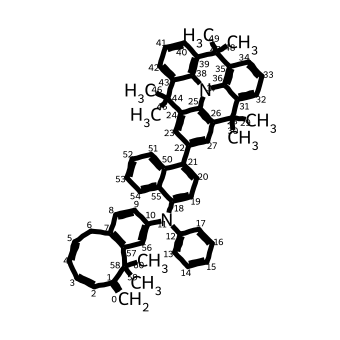 C=C1/C=C\C=C/Cc2ccc(N(c3ccccc3)c3ccc(-c4cc5c6c(c4)C(C)(C)c4cccc7c4N6c4c(cccc4C5(C)C)C7(C)C)c4ccccc34)cc2C1(C)C